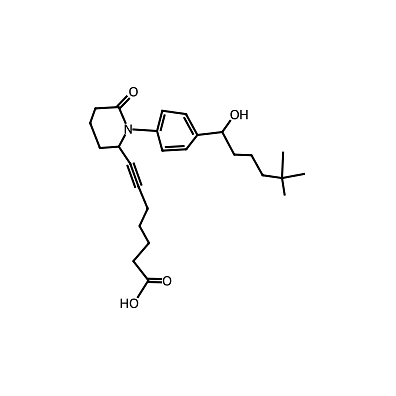 CC(C)(C)CCCC(O)c1ccc(N2C(=O)CCCC2C#CCCCCC(=O)O)cc1